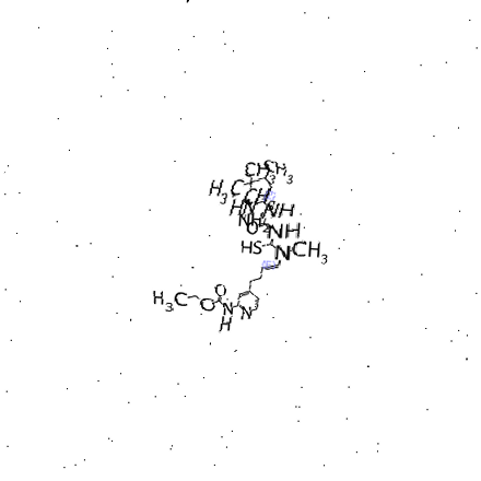 CCOC(=O)Nc1cc(CC/C=C/N(C)C(S)NC(=O)N/C(=C/C(C)C(C)(C)C)NN)ccn1